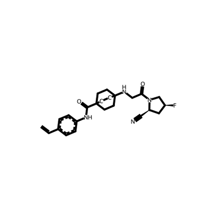 C=Cc1ccc(NC(=O)C23CCC(NCC(=O)N4C[C@@H](F)C[C@H]4C#N)(CC2)CC3)cc1